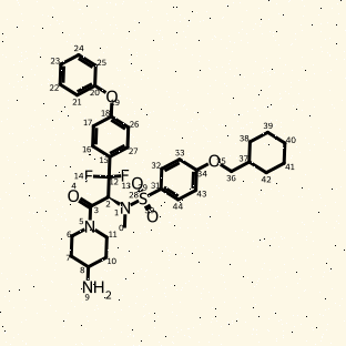 CN([C@@H](C(=O)N1CCC(N)CC1)C(F)(F)c1ccc(Oc2ccccc2)cc1)S(=O)(=O)c1ccc(OCC2CCCCC2)cc1